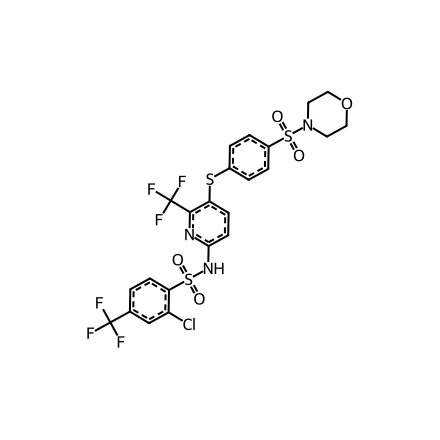 O=S(=O)(Nc1ccc(Sc2ccc(S(=O)(=O)N3CCOCC3)cc2)c(C(F)(F)F)n1)c1ccc(C(F)(F)F)cc1Cl